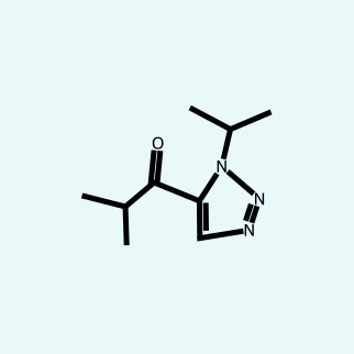 CC(C)C(=O)c1cnnn1C(C)C